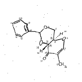 CC1=CO[C@@H]2COC(c3ccccc3)O[C@H]2C1=O